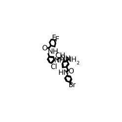 C=C(Nc1ccc(C(=O)Nc2ccc(Br)cc2)cc1N)Nc1cc(CNC(=O)C2CCC(F)(F)CC2)ccc1Cl